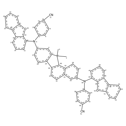 CC1(C)c2cc(N(c3ccc(C#N)cc3)c3cccc4c3oc3ccccc34)ccc2-c2ccc3cc(N(c4ccc(C#N)cc4)c4cccc5c4oc4ccccc45)ccc3c21